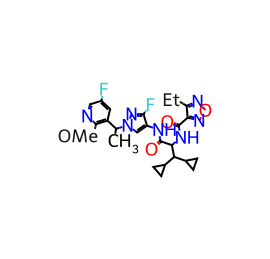 CCc1nonc1C(=O)NC(C(=O)Nc1cn(C(C)c2cc(F)cnc2OC)nc1F)C(C1CC1)C1CC1